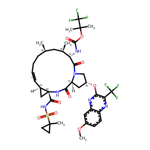 COc1ccc2nc(C(F)(F)F)c(O[C@@H]3C[C@H]4C(=O)N[C@]5(C(=O)NS(=O)(=O)C6(C)CC6)C[C@H]5/C=C\CC[C@@H](C)C[C@@H](C)[C@H](NC(=O)OC(C)(C)C(F)(F)F)C(=O)N4C3)nc2c1